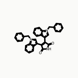 O=C1NC(=O)C(c2cn(Cc3ccccc3)c3ccccc23)=C1c1cn(Cc2ccccc2)c2ccccc12